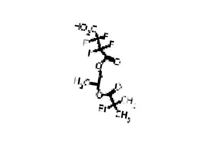 CCC(C)(C)C(=O)OC(C)COC(=O)C(F)(F)C(F)(F)C(=O)O